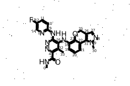 CNC(=O)c1nnc(Nc2ccc(F)cn2)c(Nc2cccc3c2OCc2cnn(C)c2-3)c1C